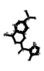 Cc1nc[nH]c1[C@@H](C)C1Cc2cc(N(C)C)cnc2C(C(C)C)C1